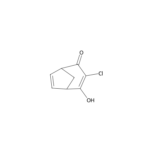 O=C1C(Cl)=C(O)C2C=CC1C2